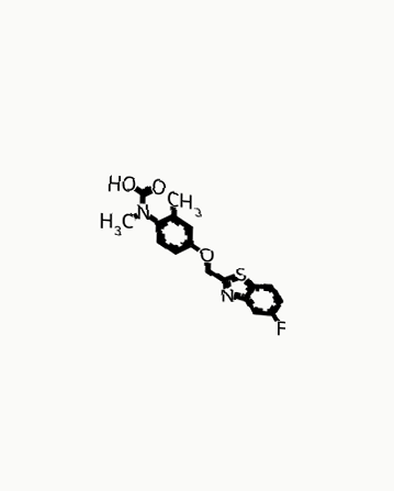 Cc1cc(OCc2nc3cc(F)ccc3s2)ccc1N(C)C(=O)O